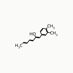 CC=CC=CC(O)=Cc1ccc(C)c(C)c1